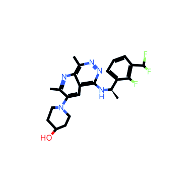 Cc1nc2c(C)nnc(N[C@H](C)c3cccc(C(F)F)c3F)c2cc1N1CCC(O)CC1